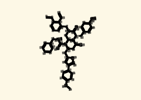 C=Cc1cccc(CN2CC3N(C(=O)CN(Cc4cc(-c5ccc(OC)cc5)no4)N3C(=O)NCc3ccccc3)[C@@H](Cc3ccc(O)cc3)C2=O)c1C=C